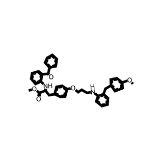 COC(=O)C(Cc1ccc(OCCCNc2ccccc2Cc2ccc(OC)cc2)cc1)Nc1ccccc1C(=O)c1ccccc1